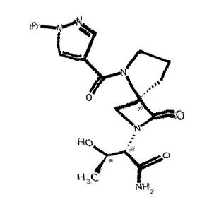 CC(C)n1cc(C(=O)N2CCC[C@]23CN([C@H](C(N)=O)[C@@H](C)O)C3=O)cn1